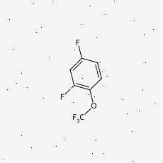 Fc1[c]cc(OC(F)(F)F)c(F)c1